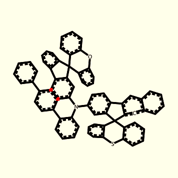 c1ccc(-c2ccc(-c3ccccc3N(c3ccc4c(c3)C3(c5ccccc5Oc5ccccc53)c3ccccc3-4)c3ccc4c(c3)C3(c5ccccc5Sc5ccccc53)c3cc5ccccc5cc3-4)cc2)cc1